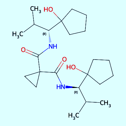 CC(C)[C@@H](NC(=O)C1(C(=O)N[C@H](C(C)C)C2(O)CCCC2)CC1)C1(O)CCCC1